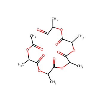 CC(=O)OC(C)C(=O)OC(C)C(=O)OC(C)C(=O)OC(C)C(=O)OC(C)C=O